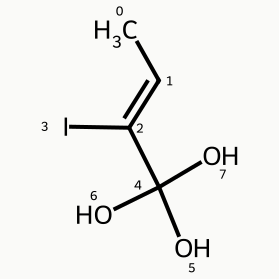 C/C=C(\I)C(O)(O)O